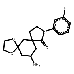 NC1CC2(CC3(CCN(c4cccc(F)c4)C3=O)C1)OCCO2